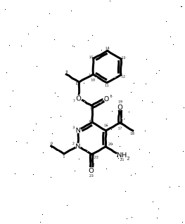 CCn1nc(C(=O)OC(C)c2ccccc2)c(C(C)=O)c(N)c1=O